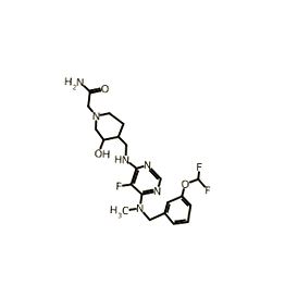 CN(Cc1cccc(OC(F)F)c1)c1ncnc(NCC2CCN(CC(N)=O)CC2O)c1F